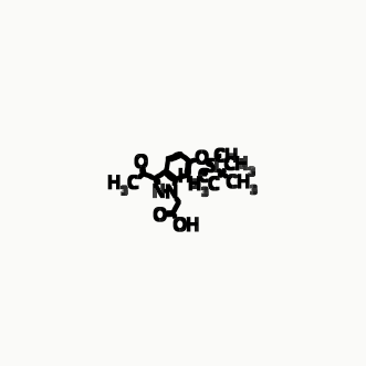 CC(=O)c1nn(CC(=O)O)c2cc(O[Si](C)(C)C(C)(C)C)ccc12